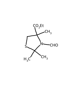 CCOC(=O)C1(C)CSC(C)(C)N1C=O